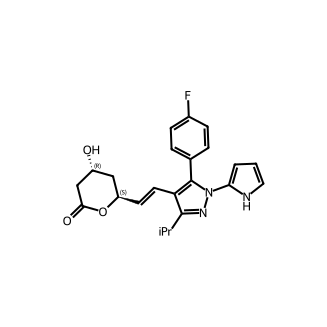 CC(C)c1nn(-c2ccc[nH]2)c(-c2ccc(F)cc2)c1C=C[C@@H]1C[C@@H](O)CC(=O)O1